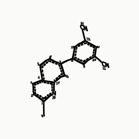 Cc1ccc2ccc(-c3cc(C#N)cc(C#N)c3)cc2n1